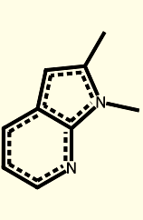 Cc1cc2cccnc2n1C